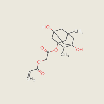 C=CC(=O)OCC(=O)OC12CC3(C)CC(O)(CC(O)(C3)C1C)C2